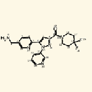 NCc1ccc(-c2cc(C(=O)N3CCC(F)(F)CC3)nn2-c2cccnc2)nc1